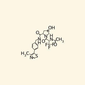 CC(=O)NC(C(=O)N1C[C@H](O)CC1C(=O)NCc1ccc(-c2scnc2C)cc1)C(F)(F)F